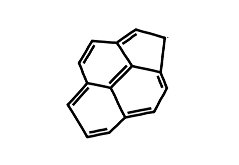 [CH]1C=c2ccc3cccc4ccc1c2c43